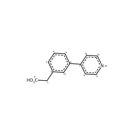 O=C(O)Cc1cccc(-c2ccncc2)c1